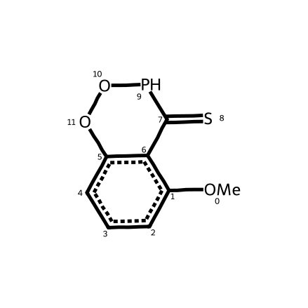 COc1cccc2c1C(=S)POO2